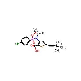 CCOP(=O)(c1ccc(Cl)cc1)N(c1cc(C#CC(C)(C)C)sc1C(=O)O)C(C)C